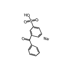 O=C(c1ccccc1)c1cccc(S(=O)(=O)O)c1.[Na]